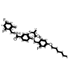 CCCCCCOc1cc(F)c(CN2C(=O)C(C)Sc3cc(C(=O)NCc4c(F)cc(F)cc4F)ccc32)c(F)c1